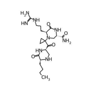 CCCC[C@@H]1NC[C@H](C(=O)C2(N3C[C@@H](C(N)=O)NC(=O)[C@@H]3CCCNC(=N)N)CC2)NC1=O